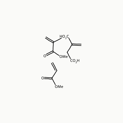 C=C(C)C(=O)OC.C=C(CC(=O)O)C(=O)O.C=CC(=O)OC